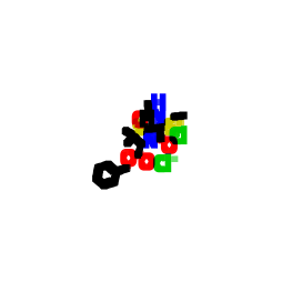 CC[S+](Cl)[C@]1(NC(C)=O)C(=O)N2[C@@H](C(=O)OCc3ccccc3)C(C)(C)S[C@@H]21.[Cl-]